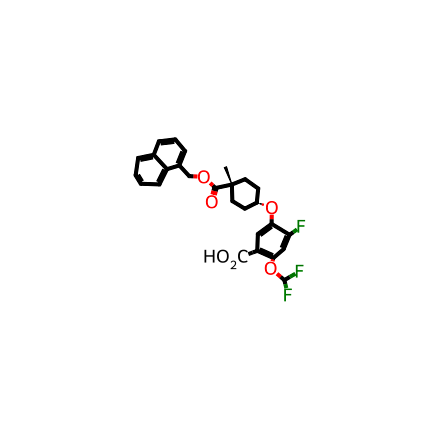 C[C@]1(C(=O)OCc2cccc3ccccc23)CC[C@@H](Oc2cc(C(=O)O)c(OC(F)F)cc2F)CC1